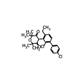 CCc1ccc(-c2ccc(Cl)cc2)c(Cl)c1C1C(=O)C(C)(C)OC(C)(C)C1=O